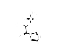 CC(OS(C)(=O)=O)C(=O)n1ccnc1